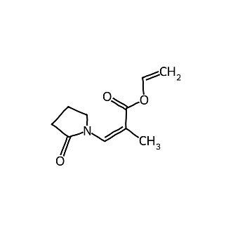 C=COC(=O)C(C)=CN1CCCC1=O